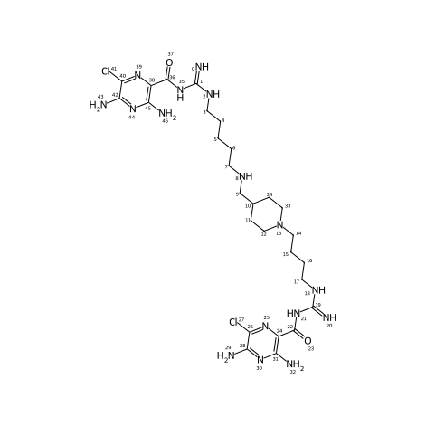 N=C(NCCCCCNCC1CCN(CCCCNC(=N)NC(=O)c2nc(Cl)c(N)nc2N)CC1)NC(=O)c1nc(Cl)c(N)nc1N